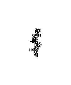 Cc1cccc(CCNC(=O)c2ccc(Nc3nc4c(N5CCC(O)(c6ccc(Cl)cc6)CC5)cccn4n3)cc2)n1